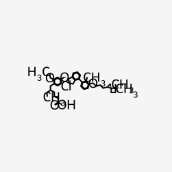 CCOc1cc(O[C@H]2CCc3c(-c4cccc(OCCCC5C[C@@]56CCC6(C)C)c4C)cccc32)c(Cl)cc1CC(CC)CCCC(=O)O